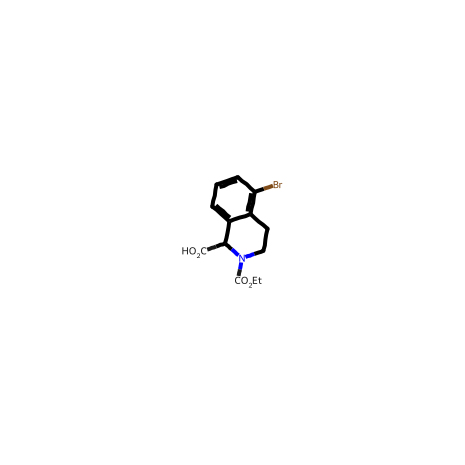 CCOC(=O)N1CCc2c(Br)cccc2C1C(=O)O